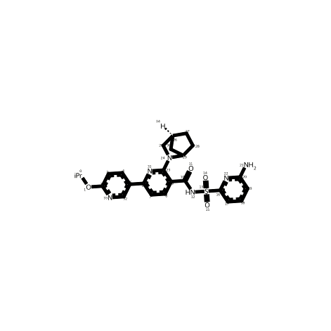 CC(C)Oc1ccc(-c2ccc(C(=O)NS(=O)(=O)c3cccc(N)n3)c(N3C[C@H]4CCC3C4)n2)cn1